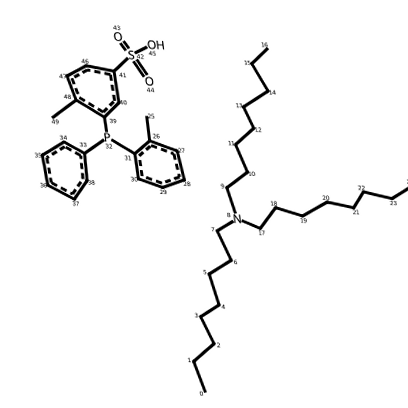 CCCCCCCCN(CCCCCCCC)CCCCCCCC.Cc1ccccc1P(c1ccccc1)c1cc(S(=O)(=O)O)ccc1C